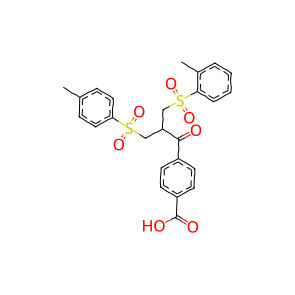 Cc1ccc(S(=O)(=O)CC(CS(=O)(=O)c2ccccc2C)C(=O)c2ccc(C(=O)O)cc2)cc1